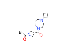 CCC(=O)N1CC(C(=O)N2CCCN(C3CCC3)CC2)C1